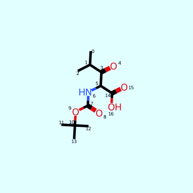 CC(C)C(=O)C(NC(=O)OC(C)(C)C)C(=O)O